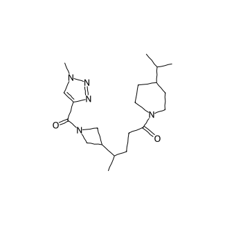 CC(C)C1CCN(C(=O)CCC(C)C2CN(C(=O)c3cn(C)nn3)C2)CC1